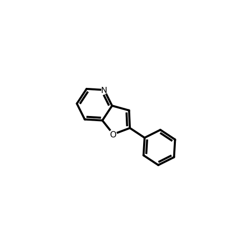 c1ccc(-c2cc3ncccc3o2)cc1